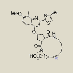 COc1ccc2c(OC3CC4C(=O)NCCCC/C=C\C5CC5(C(=O)O)N(C)C(=O)C4C3)cc(-c3nc(C(C)C)cs3)nc2c1C